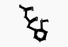 COc1ccccc1CC(=O)CC(C)=O